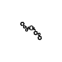 O=C(COc1ccccc1)N1CCCN(Cc2cccc(Oc3ccccc3)c2)CC1